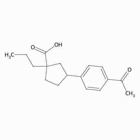 CCCC1(C(=O)O)CCC(c2ccc(C(C)=O)cc2)C1